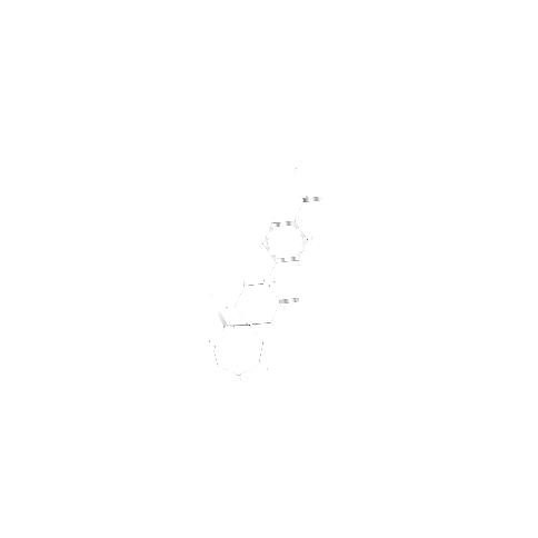 CC(C)(C)OC(=O)c1ccc(N2CCC3(CCCCNC3=O)CC2=O)cc1